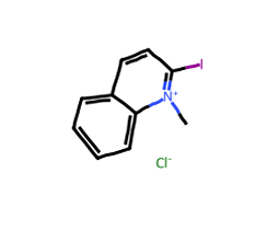 C[n+]1c(I)ccc2ccccc21.[Cl-]